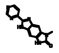 Cn1c(=O)[nH]c2cc3[nH]c(-c4ccncn4)nc3cc21